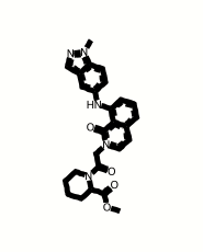 COC(=O)C1CCCCN1C(=O)Cn1ccc2cccc(Nc3ccc4c(cnn4C)c3)c2c1=O